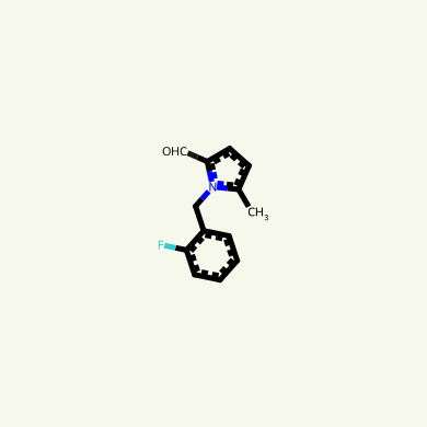 Cc1ccc(C=O)n1Cc1ccccc1F